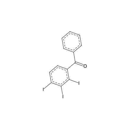 O=C(c1ccccc1)c1ccc(I)c(I)c1I